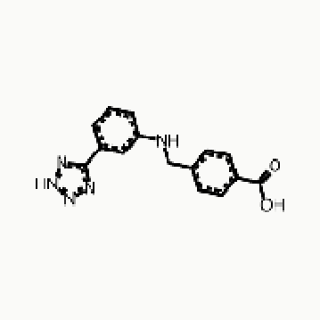 O=C(O)c1ccc(CNc2cccc(-c3nn[nH]n3)c2)cc1